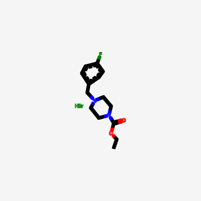 Br.CCOC(=O)N1CCN(Cc2ccc(F)cc2)CC1